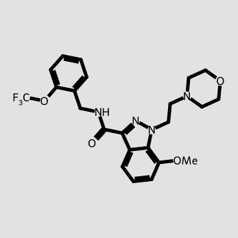 COc1cccc2c(C(=O)NCc3ccccc3OC(F)(F)F)nn(CCN3CCOCC3)c12